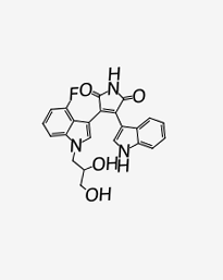 O=C1NC(=O)C(c2cn(CC(O)CO)c3cccc(F)c23)=C1c1c[nH]c2ccccc12